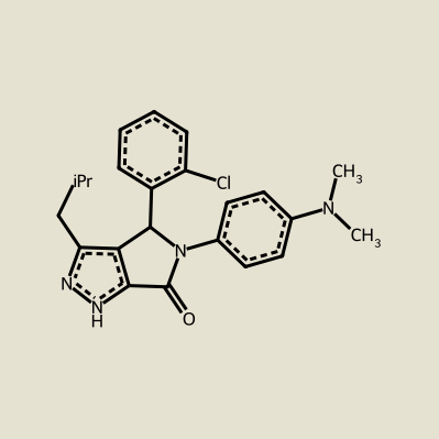 CC(C)Cc1n[nH]c2c1C(c1ccccc1Cl)N(c1ccc(N(C)C)cc1)C2=O